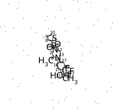 C[C@H]1CN(S(=O)(=O)c2cccs2)CCN1c1ccc(C(C)(O)C(F)(F)F)cc1